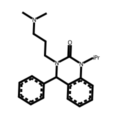 CC(C)N1C(=O)N(CCCN(C)C)C(c2ccccc2)c2ccccc21